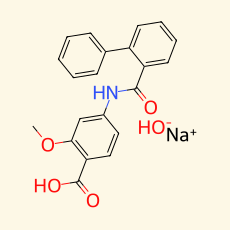 COc1cc(NC(=O)c2ccccc2-c2ccccc2)ccc1C(=O)O.[Na+].[OH-]